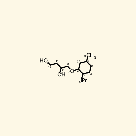 CC1CCC(C(C)C)C(OCC(O)CCO)C1